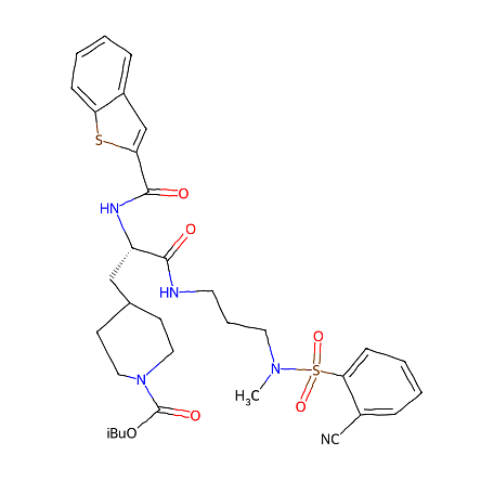 CC(C)COC(=O)N1CCC(C[C@H](NC(=O)c2cc3ccccc3s2)C(=O)NCCCN(C)S(=O)(=O)c2ccccc2C#N)CC1